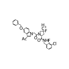 CC(=O)c1cn(CC(=O)N2C[C@](C)(F)C[C@H]2C(=O)NCc2cccc(Cl)c2F)c2ccc(OCc3ccccc3)cc12